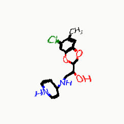 Cc1cc2c(cc1Cl)OC(C(O)CNC1CCNCC1)CO2